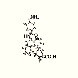 NCC1CCC(C(=O)NC(Cc2ccccc2)c2cc(-c3ccc(F)c(C(=O)O)c3)ccn2)CC1